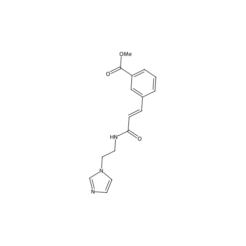 COC(=O)c1cccc(C=CC(=O)NCCn2ccnc2)c1